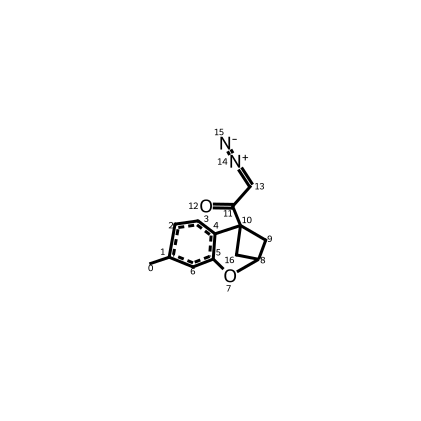 Cc1ccc2c(c1)OC1CC2(C(=O)C=[N+]=[N-])C1